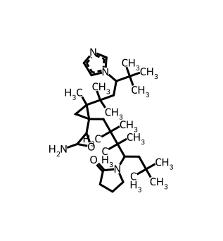 CC(C)(C)CC(N1CCCC1=O)C(C)(C)C(C)(C)CC1(C2OC2N)CC1(C)C(C)(C)CC(n1ccnc1)C(C)(C)C